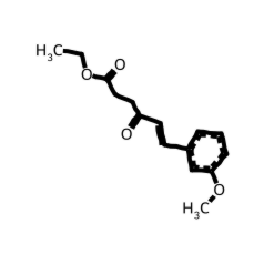 CCOC(=O)CCC(=O)C=Cc1cccc(OC)c1